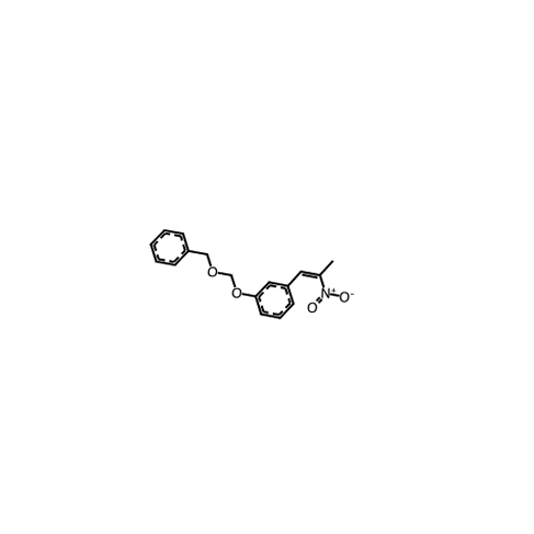 CC(=Cc1cccc(OCOCc2ccccc2)c1)[N+](=O)[O-]